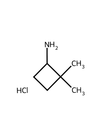 CC1(C)CCC1N.Cl